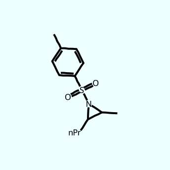 CCCC1C(C)N1S(=O)(=O)c1ccc(C)cc1